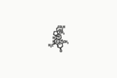 C=C1C[C@@H]2[C@@H](CC[C@@]3(C)[C@H]2CCC3(O)CC(=O)O)[C@]2(C)C1=CC(=O)CC2C